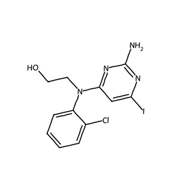 Nc1nc(I)cc(N(CCO)c2ccccc2Cl)n1